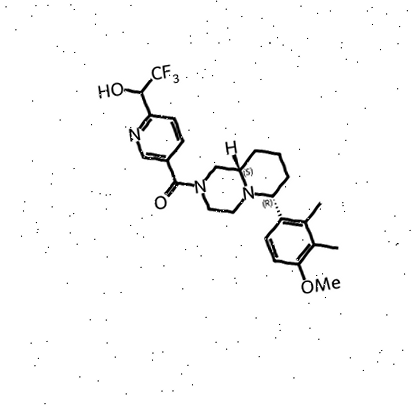 COc1ccc([C@H]2CCC[C@H]3CN(C(=O)c4ccc(C(O)C(F)(F)F)nc4)CCN32)c(C)c1C